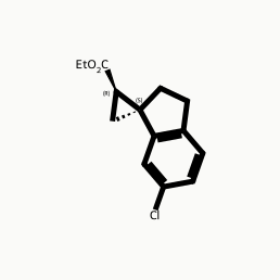 CCOC(=O)[C@@H]1C[C@@]12CCc1ccc(Cl)cc12